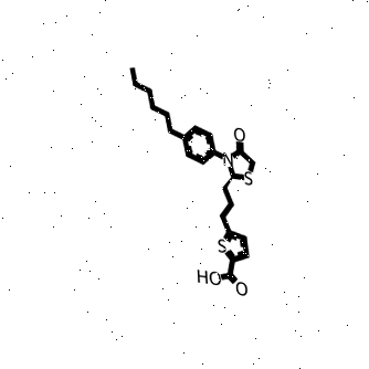 CCCCCCc1ccc(N2C(=O)CS[C@H]2CCCc2ccc(C(=O)O)s2)cc1